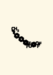 CCCC[C@H]1CC[C@H](C2CCC(c3ccc(C(F)(F)Oc4ccc(OC(F)F)cc4)cc3)CC2)CC1